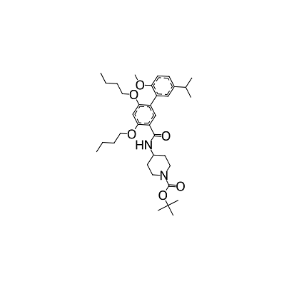 CCCCOc1cc(OCCCC)c(-c2cc(C(C)C)ccc2OC)cc1C(=O)NC1CCN(C(=O)OC(C)(C)C)CC1